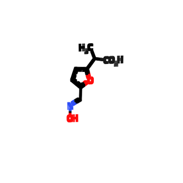 CC(C(=O)O)c1ccc(C=NO)o1